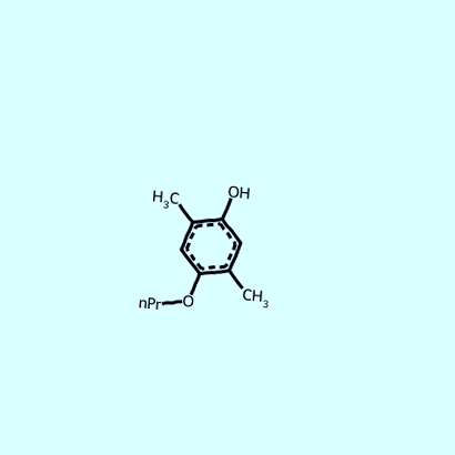 CCCOc1cc(C)c(O)cc1C